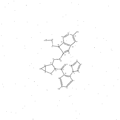 Cc1ccc(-n2nccn2)c(C(=O)N2CC3CC3C2CSc2nc3cc(C)ccc3n2CCF)c1